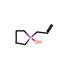 C=CC[P]1(O)CCCC1